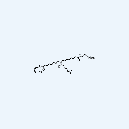 CCCCCC/C=C\COC(=O)CCCCCCCN(CCCCCCCC(=O)OC/C=C\CCCCCC)C(=O)CCCCN(C)C